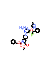 CCOC(=O)C1CC2(CCN(c3cc(O[C@H](c4ccccc4-n4ccc(C)n4)C(F)(F)F)nc(N)n3)CC2)CN1C(=O)OCc1ccccc1